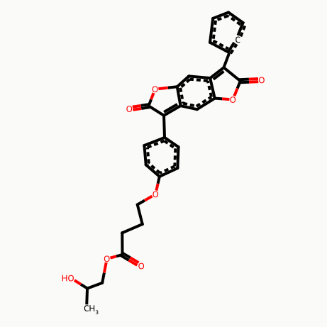 CC(O)COC(=O)CCCOc1ccc(C2=c3cc4c(cc3OC2=O)=C(c2ccccc2)C(=O)O4)cc1